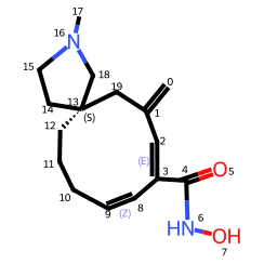 C=C1/C=C(C(=O)NO)\C=C/CCC[C@@]2(CCN(C)C2)C1